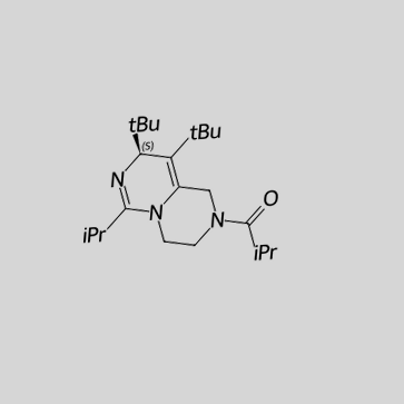 CC(C)C(=O)N1CCN2C(C(C)C)=N[C@@H](C(C)(C)C)C(C(C)(C)C)=C2C1